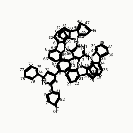 Fc1ccc(-c2cc(-c3ccc(-c4c(-n5c6ccccc6c6ccccc65)c(-n5c6ccccc6c6ccccc65)nc(-n5c6ccccc6c6ccccc65)c4-n4c5ccccc5c5ccccc54)cc3)cc(-c3ccccc3)n2)cc1